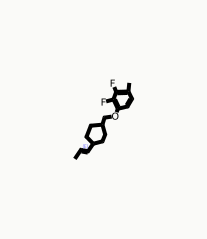 C/C=C/C1CCC(COc2ccc(C)c(F)c2F)CC1